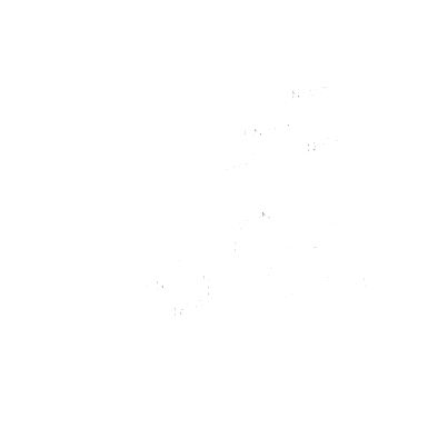 Clc1ccc2c(-c3cn[nH]c3)c3n(c2c1Cl)CC(Nc1ncccn1)CC3